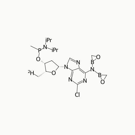 [2H]C[C@H]1O[C@@H](n2cnc3c(N(B4CO4)B4CO4)nc(Cl)nc32)C[C@H]1OP(C)N(C(C)C)C(C)C